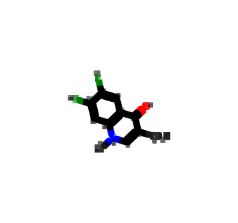 CCn1cc(C(=O)O)c(=O)c2cc(F)c(F)cc21